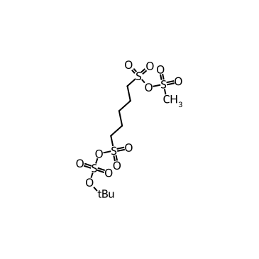 CC(C)(C)OS(=O)(=O)OS(=O)(=O)CCCCCS(=O)(=O)OS(C)(=O)=O